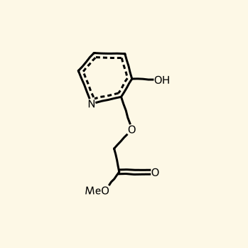 COC(=O)COc1ncccc1O